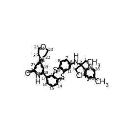 CCC(CC)(Nc1ccc2c(c1)Sc1cccc(-c3cc(N4CCOCC4)cc(=O)[nH]3)c1S2)c1ccc(C)cn1